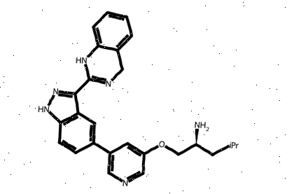 CC(C)C[C@H](N)COc1cncc(-c2ccc3[nH]nc(C4=NCc5ccccc5N4)c3c2)c1